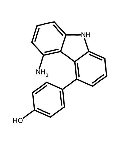 Nc1cccc2[nH]c3cccc(-c4ccc(O)cc4)c3c12